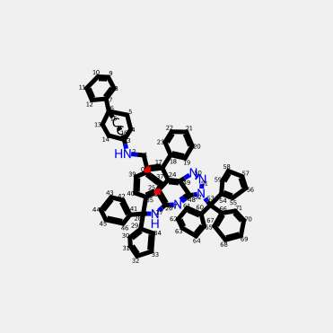 C(CNC12CCC(c3ccccc3)(CC1)CC2)=C(c1ccccc1)c1cc(NC(c2ccccc2)(c2ccccc2)c2ccccc2)nc2c1nnn2C(c1ccccc1)(c1ccccc1)c1ccccc1